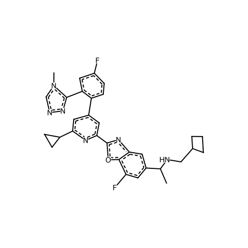 CC(NCC1CCC1)c1cc(F)c2oc(-c3cc(-c4ccc(F)cc4-c4nncn4C)cc(C4CC4)n3)nc2c1